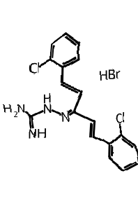 Br.N=C(N)NN=C(/C=C/c1ccccc1Cl)/C=C/c1ccccc1Cl